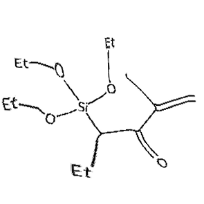 C=C(C)C(=O)C(CC)[Si](OCC)(OCC)OCC